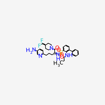 CCC(=O)Nc1c(-c2ccccc2)cccc1S(=O)(=O)N[C@@H](CCCc1ccc(N)cn1)C(=O)N1CCC(=C(F)F)CC1